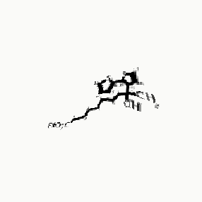 CCOC(=O)CCCCCCCC(C)(O)c1ccsc1-c1cccs1